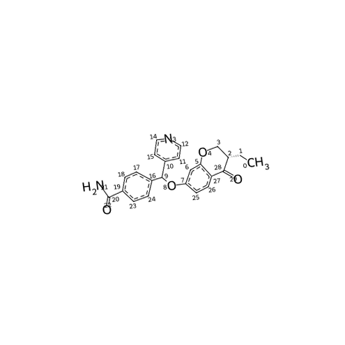 CC[C@H]1COc2cc(OC(c3ccncc3)c3ccc(C(N)=O)cc3)ccc2C1=O